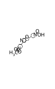 CS(=O)(=O)N1CC=C(c2cc3c(cn2)OC(C2CCN(C(=O)O)CC2)C3)CC1